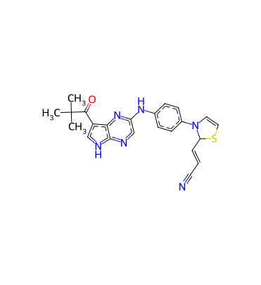 CC(C)(C)C(=O)c1c[nH]c2ncc(Nc3ccc(N4C=CSC4C=CC#N)cc3)nc12